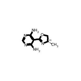 C[C@H]1COC(c2c(N)ncnc2N)=N1